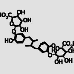 CC(Cc1ccc(O)c(O[C@@H]2O[C@H](C(=O)O)[C@@H](O)[C@H](O)[C@H]2O)c1)C(C)Cc1ccc(O)c(O[C@@H]2O[C@H](C(=O)O)[C@@H](O)[C@H](O)[C@H]2O)c1